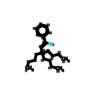 CCC[CH2][Sn]([CH]=C(F)c1ccccc1)([CH2]CCC)[CH2]CCC